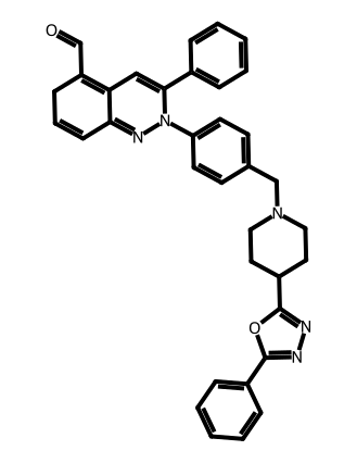 O=CC1=C2C=C(c3ccccc3)N(c3ccc(CN4CCC(c5nnc(-c6ccccc6)o5)CC4)cc3)N=C2C=CC1